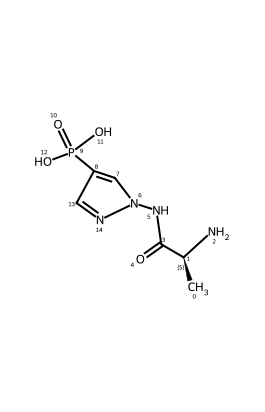 C[C@H](N)C(=O)Nn1cc(P(=O)(O)O)cn1